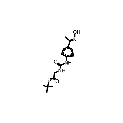 C/C(=N\O)c1ccc(NC(=O)NCC(=O)OC(C)(C)C)cc1